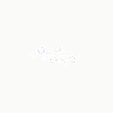 Cc1ccnc(NC(=O)c2ccc(CN3C(=O)c4ccc(Cl)cc4NC(=O)C3Cc3cccnc3)cc2)n1